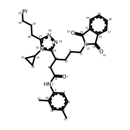 Cc1ccc(NC(=O)CC(CCCN2C(=O)c3ccccc3C2=O)c2nnc(CCCC(C)C)n2C2CC2)c(C)c1